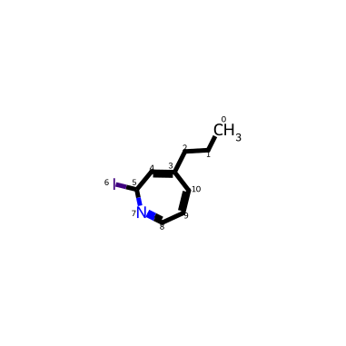 CCCC1=CC(I)N=CC=C1